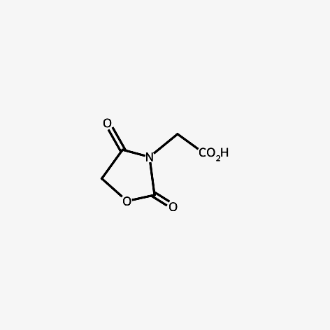 O=C(O)CN1C(=O)COC1=O